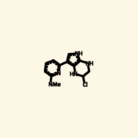 CNc1cccc(-c2c[nH]c3c2NC(Cl)CN3)n1